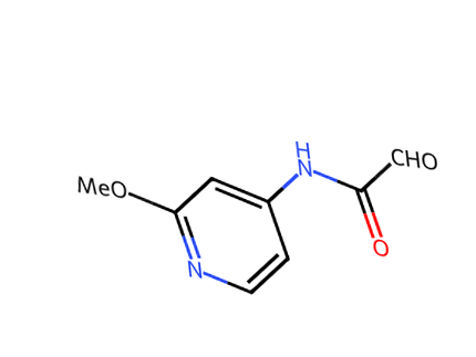 COc1cc(NC(=O)C=O)ccn1